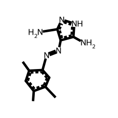 Cc1cc(C)c(N=Nc2c(N)n[nH]c2N)cc1C